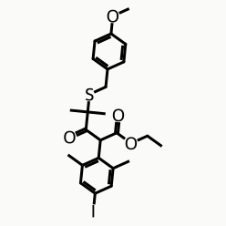 CCOC(=O)C(C(=O)C(C)(C)SCc1ccc(OC)cc1)c1c(C)cc(I)cc1C